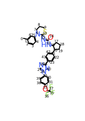 Cc1cccc(N2CCCS/C2=N\C(=O)NC2CCCC2c2ccc(-c3ncn(-c4ccc(OC(F)(F)F)cc4)n3)cc2)c1